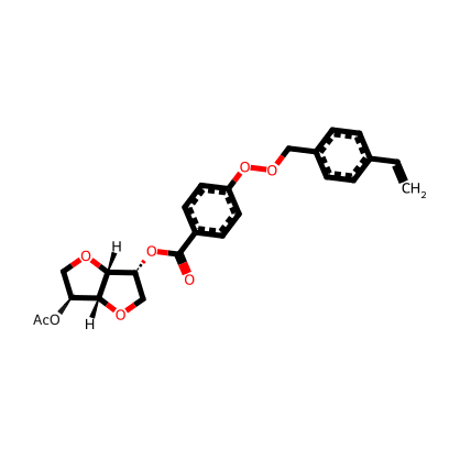 C=Cc1ccc(COOc2ccc(C(=O)O[C@@H]3CO[C@H]4[C@@H]3OC[C@@H]4OC(C)=O)cc2)cc1